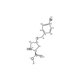 COC(=O)[C@@H]1CC(SCc2ccc(Br)cc2)CN1